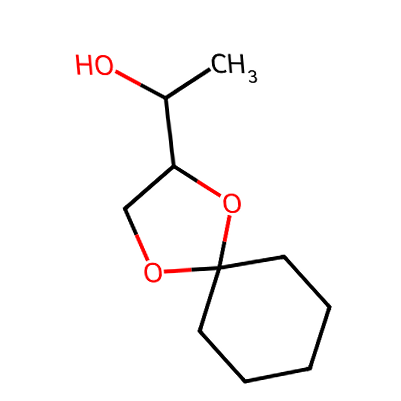 CC(O)C1COC2(CCCCC2)O1